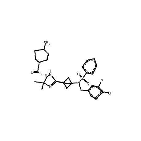 CC1(C)N=C(C23CC(N(Cc4ccc(Cl)c(F)c4)S(=O)(=O)c4ccccc4)(C2)C3)N[C@H]1C(=O)C1CCC(C(F)(F)F)CC1